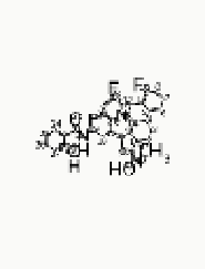 C[C@]12CCC3c4cccc(F)c4CCC3C1[C@H](C(CCNC(=O)c1ccccc1O)c1ncc(F)cc1F)C/C2=N\O